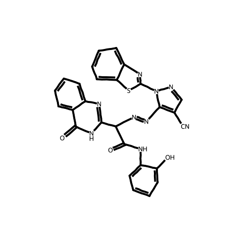 N#Cc1cnn(-c2nc3ccccc3s2)c1N=NC(C(=O)Nc1ccccc1O)c1nc2ccccc2c(=O)[nH]1